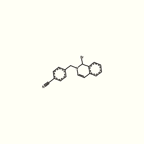 N#Cc1ccc(CN2C=Cc3ccccc3C2Br)cc1